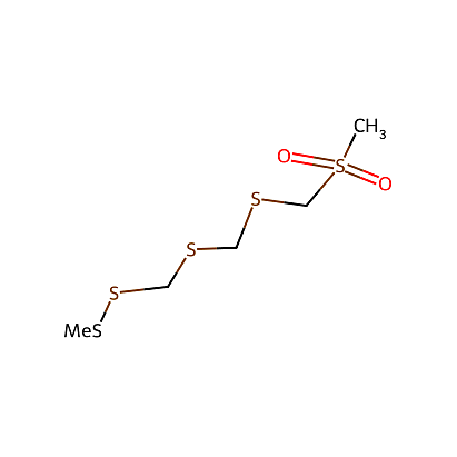 CSSCSCSCS(C)(=O)=O